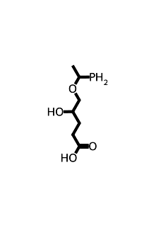 CC(P)OCC(O)CCC(=O)O